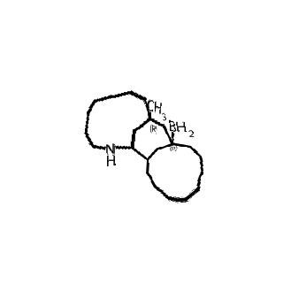 B[C@@]12CCCCCCCCC(C1)C1C[C@](C)(CCCCCCCN1)C2